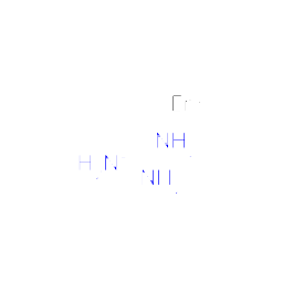 [Er+3].[NH2-].[NH2-].[NH2-]